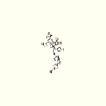 Cc1cc(C(F)(F)F)cc(N2C(=O)NC[C@H]2C(=O)N(CC#Cc2ccc(C(=O)N3CCN(C#N)CC3)nn2)c2ccc(F)cc2)n1